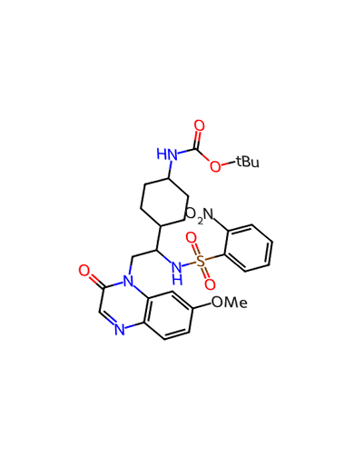 COc1ccc2ncc(=O)n(CC(NS(=O)(=O)c3ccccc3[N+](=O)[O-])C3CCC(NC(=O)OC(C)(C)C)CC3)c2c1